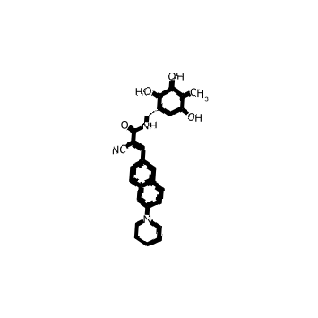 CC1C(O)C[C@H](CNC(=O)/C(C#N)=C/c2ccc3cc(N4CCCCC4)ccc3c2)C(O)C1O